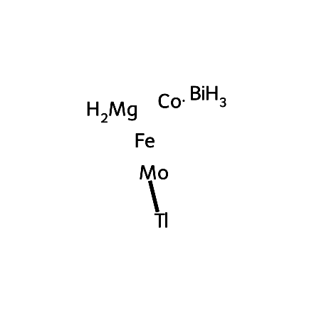 [BiH3].[Co].[Fe].[MgH2].[Mo][Tl]